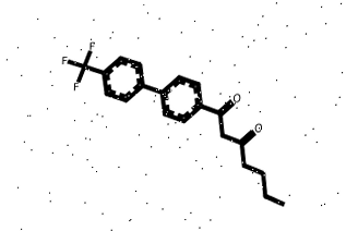 CCCCC(=O)CC(=O)c1ccc(-c2ccc(C(F)(F)F)cc2)cc1